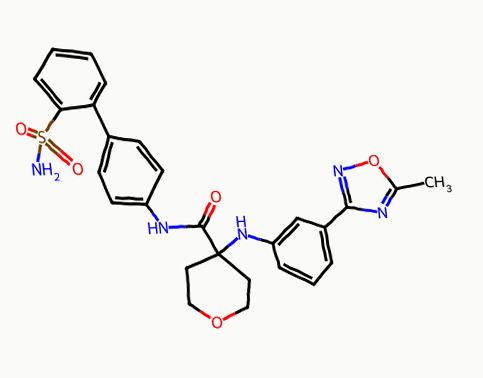 Cc1nc(-c2cccc(NC3(C(=O)Nc4ccc(-c5ccccc5S(N)(=O)=O)cc4)CCOCC3)c2)no1